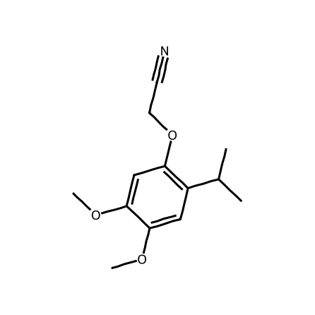 COc1cc(OCC#N)c(C(C)C)cc1OC